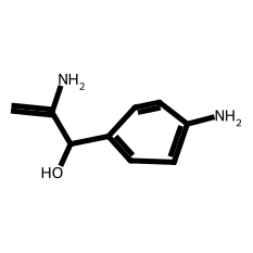 C=C(N)C(O)c1ccc(N)cc1